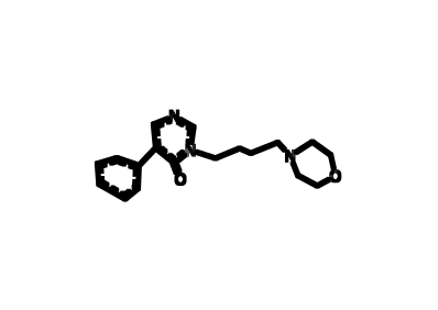 O=c1c(-c2ccccc2)cncn1CCCCN1CCOCC1